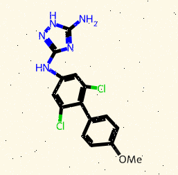 COc1ccc(-c2c(Cl)cc(Nc3n[nH]c(N)n3)cc2Cl)cc1